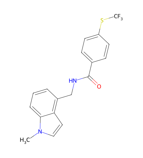 Cn1ccc2c(CNC(=O)c3ccc(SC(F)(F)F)cc3)cccc21